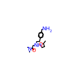 CC1CCO1.CN(C)C(=O)CNCCc1ccc(CN)cc1